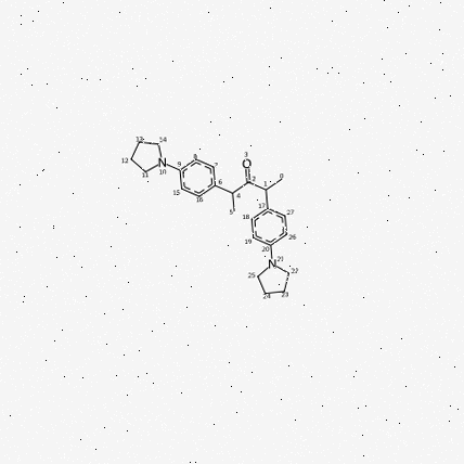 CC(C(=O)C(C)c1ccc(N2CCCC2)cc1)c1ccc(N2CCCC2)cc1